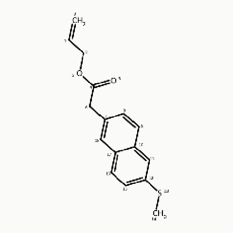 C=CCOC(=O)Cc1ccc2cc(SC)ccc2c1